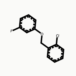 Fc1cccc(OCc2ccccc2Cl)c1